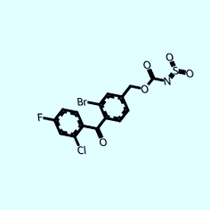 O=C(N=S(=O)=O)OCc1ccc(C(=O)c2ccc(F)cc2Cl)c(Br)c1